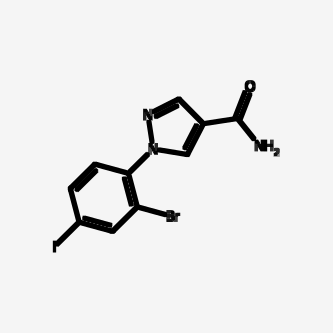 NC(=O)c1cnn(-c2ccc(I)cc2Br)c1